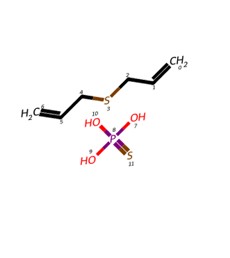 C=CCSCC=C.OP(O)(O)=S